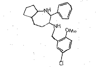 COc1ccc(Cl)cc1CNC1CCC2CCCC2NC1c1ccccc1